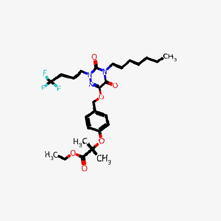 CCCCCCCn1c(=O)c(OCc2ccc(OC(C)(C)C(=O)OCC)cc2)nn(CCCC(F)(F)F)c1=O